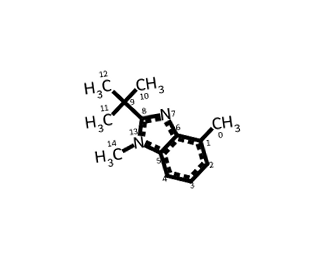 Cc1cccc2c1nc(C(C)(C)C)n2C